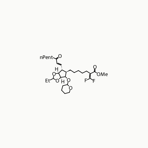 CCCCCC(=O)C=C[C@@H]1[C@@H](CCCCCC(C(=O)OC)=C(F)F)[C@@H](OC2CCCCO2)[C@H]2OC(CC)O[C@@H]12